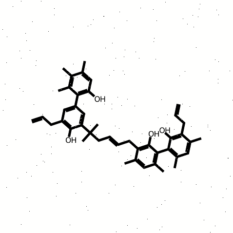 C=CCc1cc(-c2c(O)cc(C)c(C)c2C)cc(C(C)(C)C/C=C/Cc2c(C)cc(C)c(-c3c(C)cc(C)c(CC=C)c3O)c2O)c1O